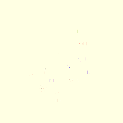 COC(=O)[C@@H](CCCOc1ccc(Cl)c(Cl)c1C(O)c1cnc2c(SC)ncnn12)NC(=O)OC(C)(C)C